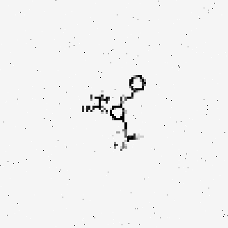 N=C(N)NCc1cccc(OCc2ccccc2)c1.O=C(O)C(F)(F)F